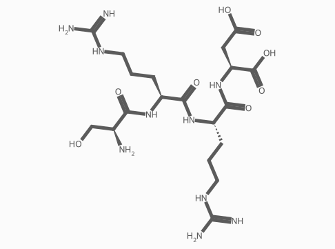 N=C(N)NCCC[C@H](NC(=O)[C@H](CCCNC(=N)N)NC(=O)[C@@H](N)CO)C(=O)N[C@@H](CC(=O)O)C(=O)O